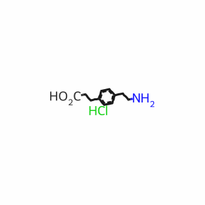 Cl.NCCc1ccc(CCC(=O)O)cc1